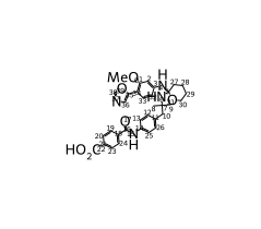 COc1cc(NC2(NC(C)(C)Cc3ccc(NC(=O)c4ccc(C(=O)O)cc4)cc3)CCCCO2)ccc1-c1cnco1